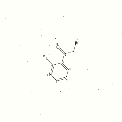 O=C(CBr)c1cccnc1I